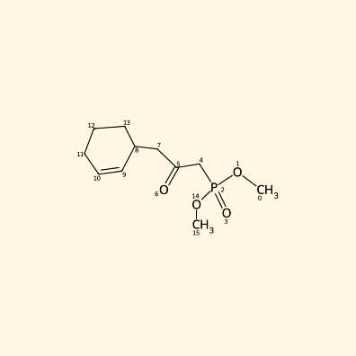 COP(=O)(CC(=O)CC1C=CCCC1)OC